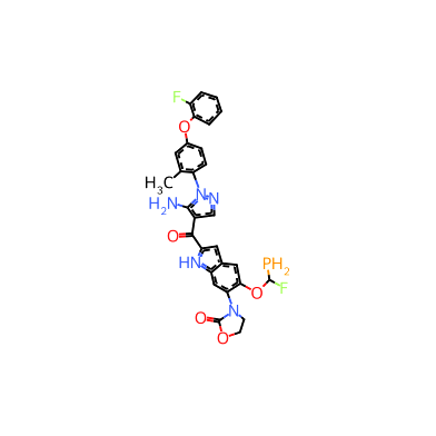 Cc1cc(Oc2ccccc2F)ccc1-n1ncc(C(=O)c2cc3cc(OC(F)P)c(N4CCOC4=O)cc3[nH]2)c1N